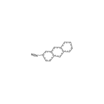 N#[N+]c1ccc2cc3ccccc3cc2c1